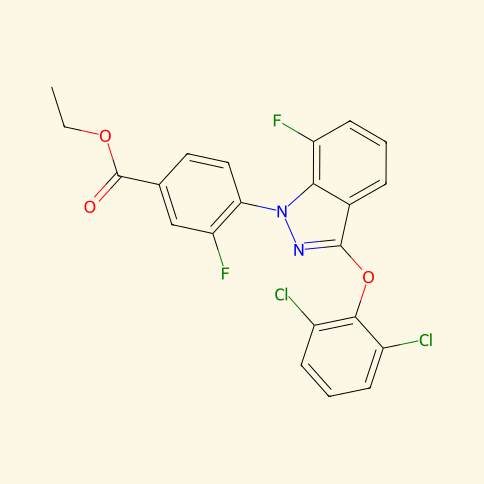 CCOC(=O)c1ccc(-n2nc(Oc3c(Cl)cccc3Cl)c3cccc(F)c32)c(F)c1